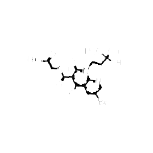 CC(C)(C)CCn1c(=O)c(C(=O)NCC(=O)O)c(O)c2cc(Br)cnc21